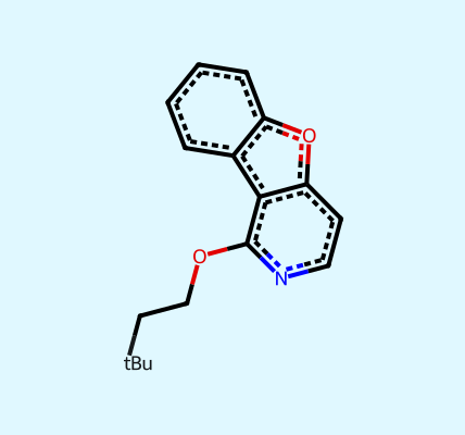 CC(C)(C)CCOc1nccc2oc3ccccc3c12